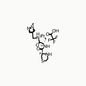 CC(C)C[C@H](NC(=O)[C@@H]1CSCCN1)C(=O)NCc1cnn(C)c1.O=C(O)C(F)(F)F